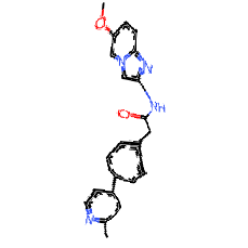 COc1ccc2nc(NC(=O)Cc3ccc(-c4ccnc(C)c4)cc3)cn2c1